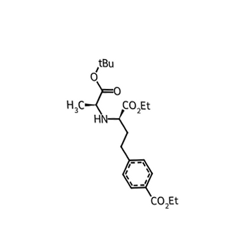 CCOC(=O)c1ccc(CC[C@@H](N[C@@H](C)C(=O)OC(C)(C)C)C(=O)OCC)cc1